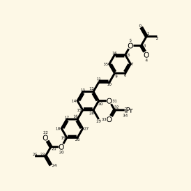 C=C(C)C(=O)Oc1ccc(/C=C/c2ccc(-c3ccc(OC(=O)C(=C)C)cc3)c(C)c2OC(=O)C(C)C)cc1